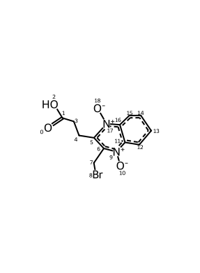 O=C(O)CCc1c(CBr)[n+]([O-])c2ccccc2[n+]1[O-]